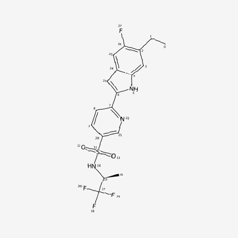 CCc1cc2[nH]c(-c3ccc(S(=O)(=O)N[C@@H](C)C(F)(F)F)cn3)cc2cc1F